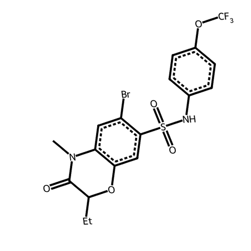 CCC1Oc2cc(S(=O)(=O)Nc3ccc(OC(F)(F)F)cc3)c(Br)cc2N(C)C1=O